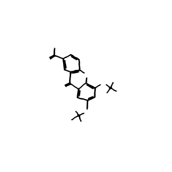 CC(C)(C)Oc1cc(OC(C)(C)C)c2oc3ccc(C(=O)O)cc3c(=O)c2c1